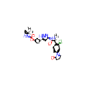 CC(C(=O)Nc1cc([C@H]2CC[C@@H](OC(=O)NC3(C)CC3)C2)[nH]n1)c1ccc(N2CCCC2=O)cc1Cl